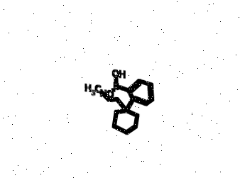 CCCC1(c2ccccc2B(O)O)CCCCC1